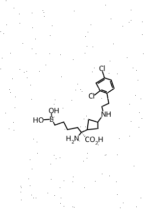 N[C@](CCCCB(O)O)(C(=O)O)C1CC(NCCc2ccc(Cl)cc2Cl)C1